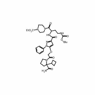 CCOC(=O)N1CCN(C(=O)C(CCNC(=O)OC(C)(C)C)NC(=O)c2cc(OCC(=O)N3CCCC3(C(N)=O)C3CCC3)n(-c3ccccc3)n2)CC1